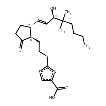 CCCCC(C)(C)[C@H](O)C=C[C@H]1CCC(=O)[C@@H]1CCSc1nc(C(=O)O)cs1